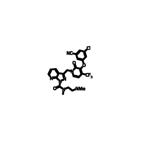 CNCCN(C)C(=O)n1nc(Cn2ccc(C(F)(F)F)c(Oc3cc(Cl)cc(C#N)c3)c2=O)c2cccnc21